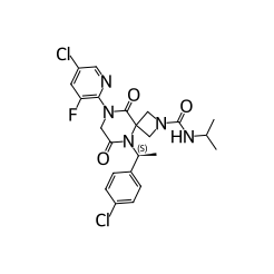 CC(C)NC(=O)N1CC2(C1)C(=O)N(c1ncc(Cl)cc1F)CC(=O)N2[C@@H](C)c1ccc(Cl)cc1